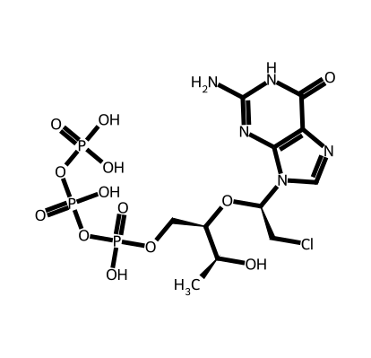 C[C@H](O)[C@@H](COP(=O)(O)OP(=O)(O)OP(=O)(O)O)O[C@H](CCl)n1cnc2c(=O)[nH]c(N)nc21